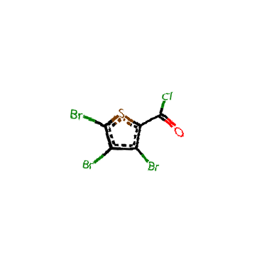 O=C(Cl)c1sc(Br)c(Br)c1Br